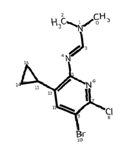 CN(C)C=Nc1nc(Cl)c(Br)cc1C1CC1